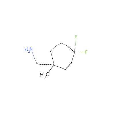 CC1(CN)CCC(F)(F)CC1